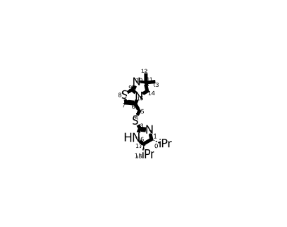 CC(C)[C@H]1N=C(SCC2=CSC3=NC(C)(C)CN23)N[C@H]1C(C)C